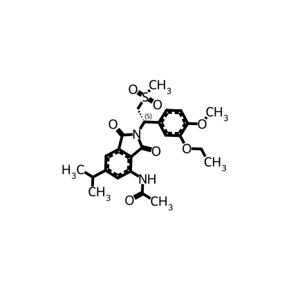 CCOc1cc([C@@H](CS(C)(=O)=O)N2C(=O)c3cc(C(C)C)cc(NC(C)=O)c3C2=O)ccc1OC